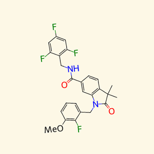 COc1cccc(CN2C(=O)C(C)(C)c3ccc(C(=O)NCc4c(F)cc(F)cc4F)cc32)c1F